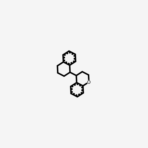 c1ccc2c(c1)CCCC2C1CCOc2ccccc21